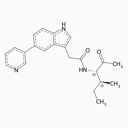 CC[C@H](C)[C@H](NC(=O)Cc1c[nH]c2ccc(-c3cccnc3)cc12)C(C)=O